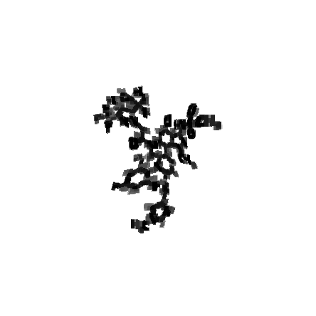 Cn1cnc(C#Cc2ccc(-c3ccc(Cl)c4c(NS(C)(=O)=O)nn(C)c34)c([C@H](Cc3cc(F)cc(F)c3)NC(=O)Cn3nc(C(F)(F)F)c4c3C(F)(F)[C@@H]3C[C@H]43)n2)c1